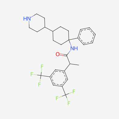 CC(C(=O)NC1(c2ccccc2)CCC(C2CCNCC2)CC1)c1cc(C(F)(F)F)cc(C(F)(F)F)c1